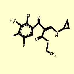 CCOC(=O)/C(=C\NC1CC1)C(=O)c1cc(F)c(F)c(C)c1Cl